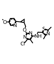 COc1ccc(C2CC2COc2nc(Cl)c(C)c(NCc3sc(C)nc3C)n2)nc1